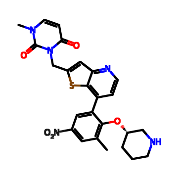 Cc1cc([N+](=O)[O-])cc(-c2ccnc3cc(Cn4c(=O)ccn(C)c4=O)sc23)c1O[C@H]1CCCNC1